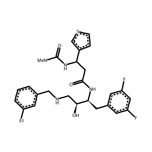 CCc1cccc(CNC[C@H](O)[C@H](Cc2cc(F)cc(F)c2)NC(=O)CC(NC(=O)NC)c2ccsc2)c1